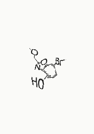 COCc1nc2c(O)ccc(Br)c2o1